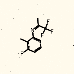 CC(=Nc1cccc(F)c1C)C(F)(F)F